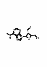 CNc1ncnc2c1ncn2[C@@H]1O[C@H](CO)[C@@H]1CF